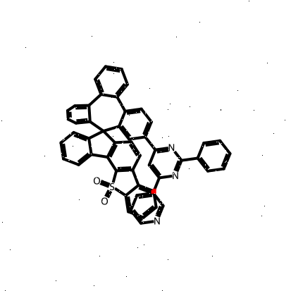 O=S1(=O)c2ccccc2-c2ccc3c(c21)-c1ccccc1C31c2ccccc2-c2ccccc2-c2ccc(-c3cc(-c4cccnc4)nc(-c4ccccc4)n3)cc21